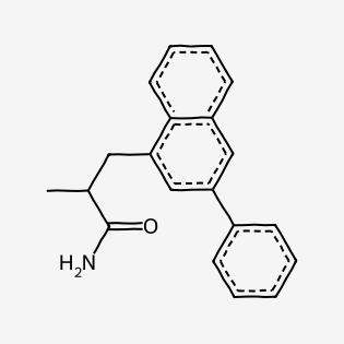 CC(Cc1cc(-c2ccccc2)cc2ccccc12)C(N)=O